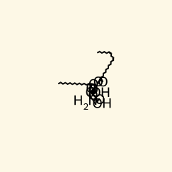 CCCCC/C=C\C/C=C\CCCCCCCCCC(=O)OC[C@H](COP(=O)(O)OC[C@H](N)C(=O)O)OC(=O)CCCCCCCCCCCCCC